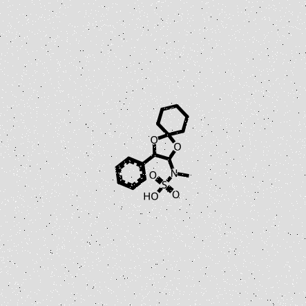 CN(C1OC2(CCCCC2)OC1c1ccccc1)S(=O)(=O)O